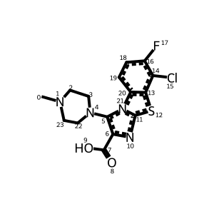 CN1CCN(c2c(C(=O)O)nc3sc4c(Cl)c(F)ccc4n23)CC1